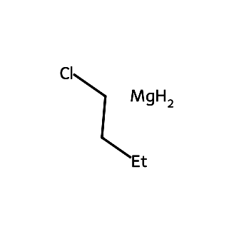 [CH2]CCCCl.[MgH2]